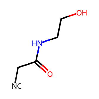 [C-]#[N+]CC(=O)NCCO